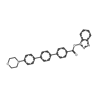 O=C(On1nnc2ccccc21)c1ccc(-c2ccc(-c3ccc(N4CCOCC4)cc3)cc2)cc1